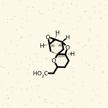 O=C(O)CC1CC[C@@H]2O[C@@H]3C[C@]2(C[C@H]2O[C@H]23)O1